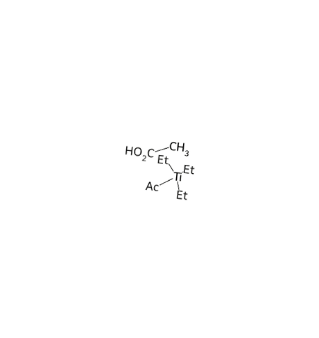 CC(=O)O.C[CH2][Ti]([CH2]C)([CH2]C)[C](C)=O